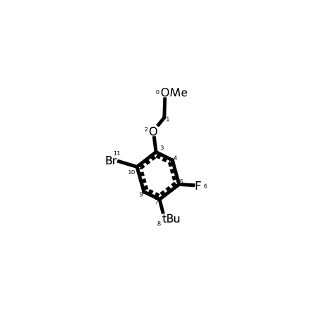 COCOc1cc(F)c(C(C)(C)C)cc1Br